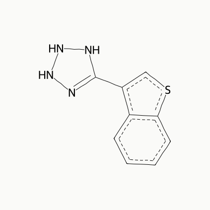 c1ccc2c(C3=NNNN3)csc2c1